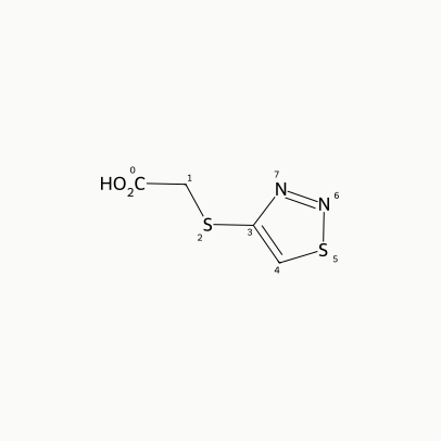 O=C(O)CSc1csnn1